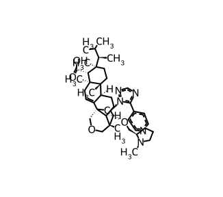 CC(C)[C@@H](C)[C@@]1(C)CC[C@]2(C)[C@H]3CC[C@@H]4[C@@]5(COC[C@@]4(C)[C@@H](OC[C@H]4CCCN4C)[C@H](n4ncnc4-c4ccncc4)C5)C3=CC[C@@]2(C)[C@@H]1C(=O)O